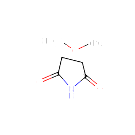 CC(C)(C)OC(=O)O.O=C1CCC(=O)N1